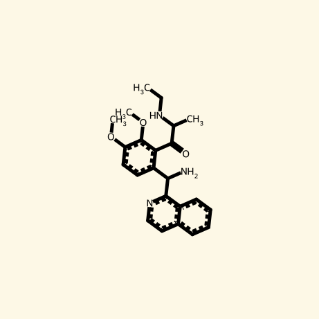 CCNC(C)C(=O)c1c(C(N)c2nccc3ccccc23)ccc(OC)c1OC